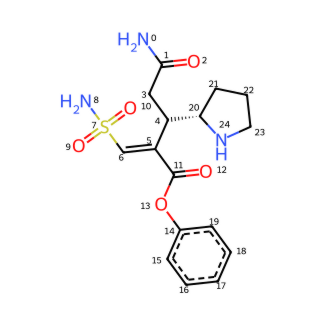 NC(=O)CC(C(=CS(N)(=O)=O)C(=O)Oc1ccccc1)[C@@H]1CCCN1